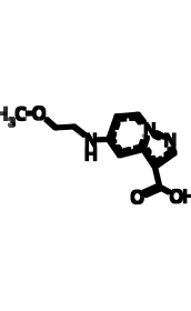 COCCNc1ccn2ncc(C(=O)O)c2c1